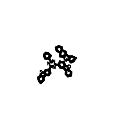 c1ccc(-c2nc(-c3ccc4c(c3)sc3ccccc34)nc(-c3cc(-n4c5ccccc5c5cc6ccccc6cc54)c4oc5ccccc5c4c3)n2)cc1